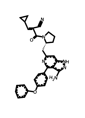 N#CC(=CC1CC1)C(=O)N1CCC[C@@H]1Cc1cc2[nH]nc(N)c2c(-c2ccc(Oc3ccccc3)cc2)n1